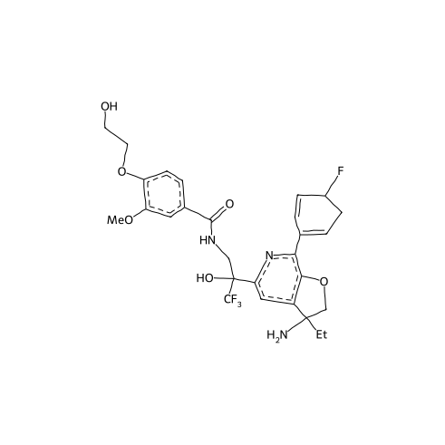 CCC1(N)COc2c1cc(C(O)(CNC(=O)c1ccc(OCCO)c(OC)c1)C(F)(F)F)nc2C1=CCC(F)C=C1